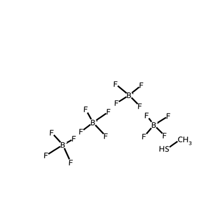 CS.F[B-](F)(F)F.F[B-](F)(F)F.F[B-](F)(F)F.F[B-](F)(F)F